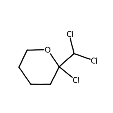 ClC(Cl)C1(Cl)CCCCO1